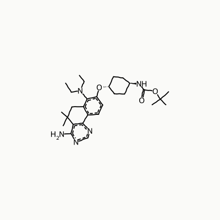 CCN(CC)c1c(O[C@H]2CC[C@H](NC(=O)OC(C)(C)C)CC2)ccc2c1CC(C)(C)c1c(N)ncnc1-2